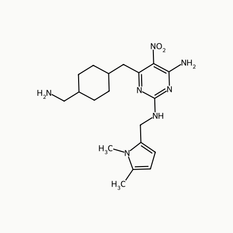 Cc1ccc(CNc2nc(N)c([N+](=O)[O-])c(CC3CCC(CN)CC3)n2)n1C